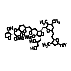 C=C1CC(CCC)OC1CCC1C[C@@H](C)C(=C)C(C[C@@H]2O[C@H](CC(O)CO)[C@H](OC)C2CC(=O)CC2CCC3O[C@@H](C4OCC[C@H]4O)CC(OC)[C@H]3O2)O1